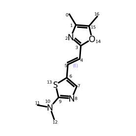 Cc1nc(/C=C/c2cnc(N(C)C)s2)oc1C